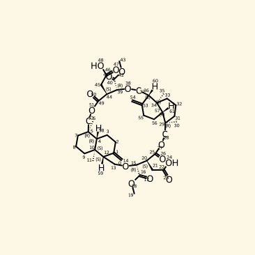 C=C1CC[C@H]2[C@@]3(C)CCC[C@]2(C)[C@H]1CO[C@@H](C(=O)OC)[C@H](CC(=O)O)C(=O)OC[C@]1(C)CCC[C@]2(C)[C@@H](CO[C@@H](C(=O)OC)[C@H](CC(=O)O)C(=O)OC3)C(=C)CC[C@@H]12